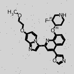 COCCOc1ccn2c(-c3cc(-c4cnco4)c4cccc(O[C@@H]5CCNC[C@H]5F)c4n3)cnc2c1